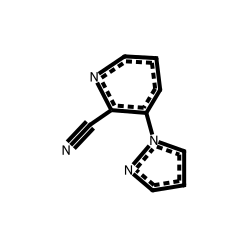 N#Cc1ncccc1-n1cccn1